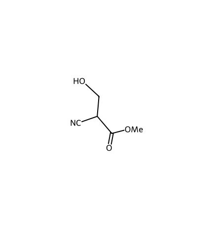 COC(=O)C(C#N)CO